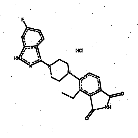 CCc1c(N2CCN(c3n[nH]c4cc(F)ccc34)CC2)ccc2c1C(=O)NC2=O.Cl